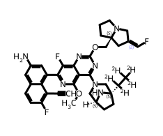 [2H]C([2H])([2H])C([2H])([2H])[C@@]12CC[C@@H](CN(c3nc(OC[C@@]45CCCN4C/C(=C\F)C5)nc4c(F)c(-c5cc(N)cc6ccc(F)c(C#C)c56)nc(OC)c34)C1)N2